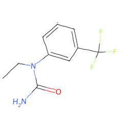 CCN(C(N)=O)c1c[c]cc(C(F)(F)F)c1